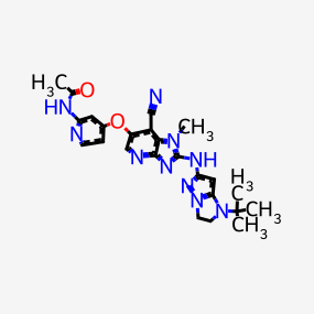 CC(=O)Nc1cc(Oc2cnc3nc(Nc4cc5n(n4)CCN5C(C)(C)C)n(C)c3c2C#N)ccn1